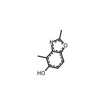 Cc1nc2c(C)c(O)ccc2o1